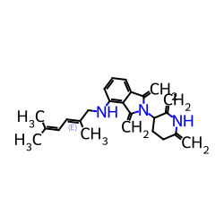 C=C1CCC(n2c(=C)c3cccc(NC/C(C)=C/C=C(C)C)c3c2=C)C(=C)N1